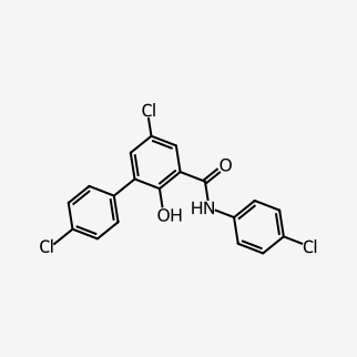 O=C(Nc1ccc(Cl)cc1)c1cc(Cl)cc(-c2ccc(Cl)cc2)c1O